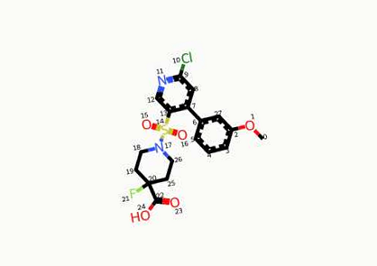 COc1cccc(-c2cc(Cl)ncc2S(=O)(=O)N2CCC(F)(C(=O)O)CC2)c1